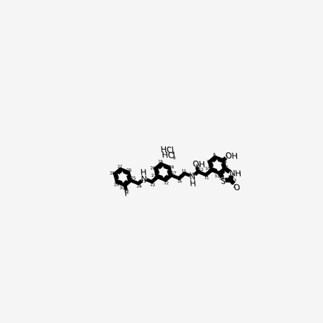 Cl.Cl.O=c1[nH]c2c(O)ccc(CC(O)NCCc3cccc(CNCc4ccccc4F)c3)c2s1